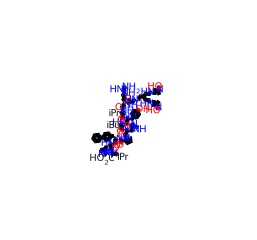 CCC(C)[C@H](NC(=O)[C@H](Cc1ccc(O)cc1)NC(=O)[C@@H](NC(=O)[C@H](CCCNC(=N)N)NC(=O)CNCCC(CCNC(C)(C)/C(C)=N\O)CCNC(C)(C)/C(C)=N\O)C(C)C)C(=O)N[C@@H](Cc1cnc[nH]1)C(=O)N1CCC[C@H]1C(=O)N[C@@H](Cc1ccc(-c2ccccc2)cc1)C(=O)N[C@@H](Cc1cnc[nH]1)C(=O)N[C@@H](CC(C)C)C(=O)O